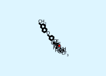 C=Cc1ccc2cc(OCc3ccc(OS(=O)(=O)C(F)(F)C(F)(F)C(F)(F)S(=O)(=O)NS(=O)(=O)C(F)(F)F)cc3)ccc2c1